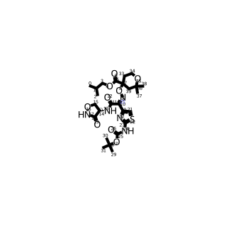 CC(C)COC(=O)C1(O/N=C(\C(=O)N[C@H]2CONC2=O)c2csc(NC(=O)OC(C)(C)C)n2)CCOC(C)(C)C1